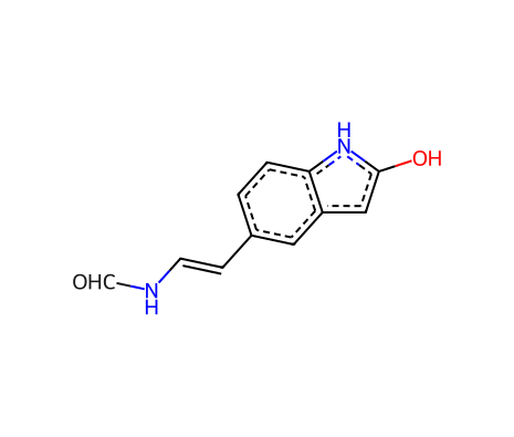 O=CNC=Cc1ccc2[nH]c(O)cc2c1